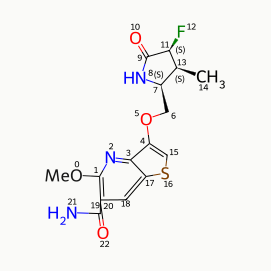 COc1nc2c(OC[C@H]3NC(=O)[C@@H](F)[C@H]3C)csc2cc1C(N)=O